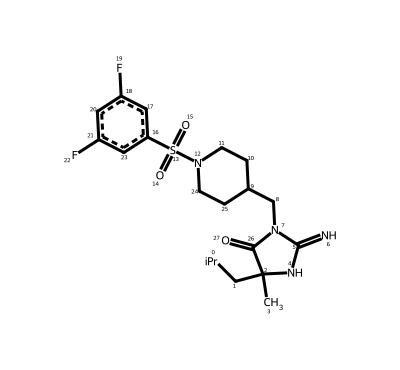 CC(C)CC1(C)NC(=N)N(CC2CCN(S(=O)(=O)c3cc(F)cc(F)c3)CC2)C1=O